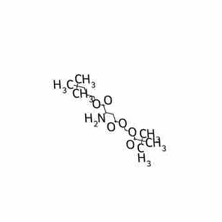 CC(C)(C)CCCOC(=O)C(N)CC(=O)OCOC(=O)C(C)(C)C